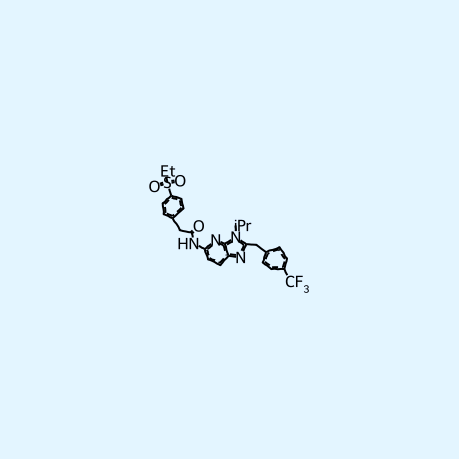 CCS(=O)(=O)c1ccc(CC(=O)Nc2ccc3nc(Cc4ccc(C(F)(F)F)cc4)n(C(C)C)c3n2)cc1